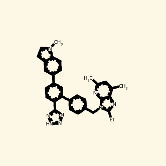 CCc1nc2c(C)cc(C)nc2n1Cc1ccc(-c2cc(-c3ccc4c(ccn4C)c3)ccc2-c2nn[nH]n2)cc1